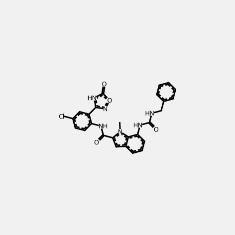 Cn1c(C(=O)Nc2ccc(Cl)cc2-c2noc(=O)[nH]2)cc2cccc(NC(=O)NCc3ccccc3)c21